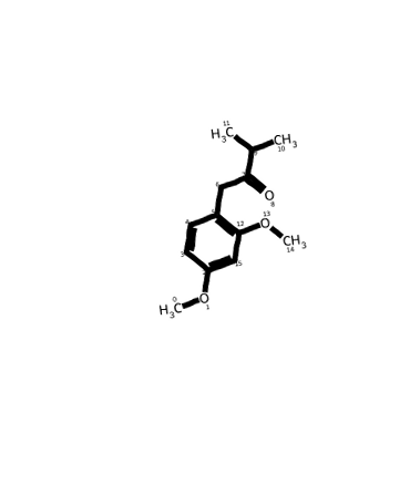 COc1ccc(CC(=O)C(C)C)c(OC)c1